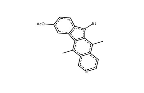 CCn1c2ccc(OC(C)=O)cc2c2c(C)c3cnccc3c(C)c21